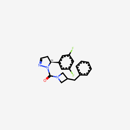 O=C(N1CC(Cc2ccccc2)C1)N1N=CC[C@H]1c1cc(F)cc(F)c1